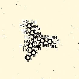 Bc1c(O)c(B)c(O)c(-c2c(B)c(O)c(-c3nc(-c4c(B)c(O)c(-c5c(B)c(O)c(O)c(O)c5O)c(O)c4O)nc(-c4c(O)c(B)c(O)c(-c5cccc6c5sc5ccccc56)c4O)n3)c(O)c2O)c1O